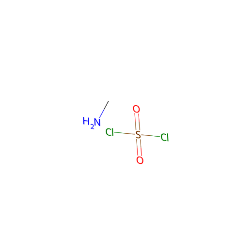 CN.O=S(=O)(Cl)Cl